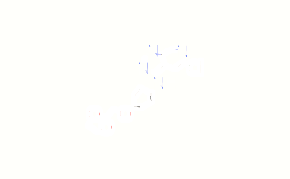 Clc1cc2c(Nc3ccc(OCC4OCCO4)cc3)ncnc2cn1